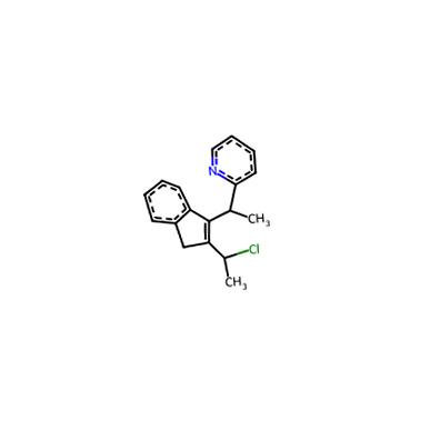 CC(Cl)C1=C(C(C)c2ccccn2)c2ccccc2C1